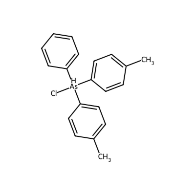 Cc1ccc([AsH](Cl)(c2ccccc2)c2ccc(C)cc2)cc1